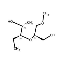 CC[C@H](O[C@H](CO)COC)[C@@H](C)O